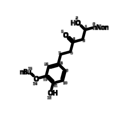 CCCCCCCCCC(O)CC(=O)CCc1ccc(O)c(OCCCC)c1